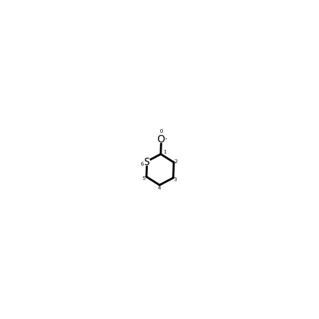 [O]C1CCCCS1